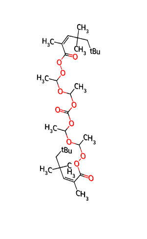 C/C(=C/C(C)(C)CC(C)(C)C)C(=O)OOC(C)OC(C)OC(=O)OC(C)OC(C)OOC(=O)/C(C)=C\C(C)(C)CC(C)(C)C